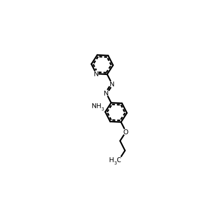 CCCOc1ccc(N=Nc2ccccn2)cc1.N